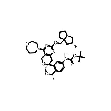 C[C@@H]1OC[C@]2(Cc3nc(OC[C@@]45CCCN4C[C@H](F)C5)nc(N4CCCOCC4)c3CO2)c2cc(NC(=O)OC(C)(C)C)ccc21